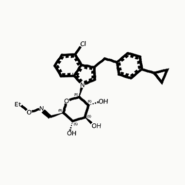 CCON=C[C@H]1O[C@@H](n2cc(Cc3ccc(C4CC4)cc3)c3c(Cl)cccc32)[C@H](O)[C@@H](O)[C@@H]1O